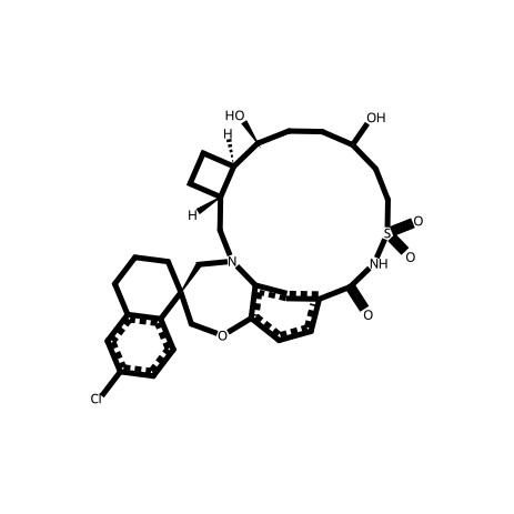 O=C1NS(=O)(=O)CCC(O)CC[C@H](O)[C@@H]2CC[C@H]2CN2C[C@@]3(CCCc4cc(Cl)ccc43)COc3ccc1cc32